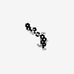 C#C[C@@]1(O)CC[C@H]2[C@@H]3CCC4CC(O)C(N5CCN(C(=O)[C@@H]6CCCN6C(=O)c6cc7ccccc7cn6)CC5)C[C@]4(C)[C@H]3CC[C@@]21C